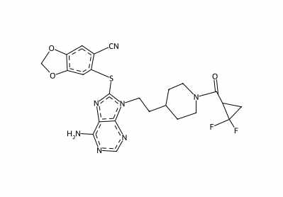 N#Cc1cc2c(cc1Sc1nc3c(N)ncnc3n1CCC1CCN(C(=O)C3CC3(F)F)CC1)OCO2